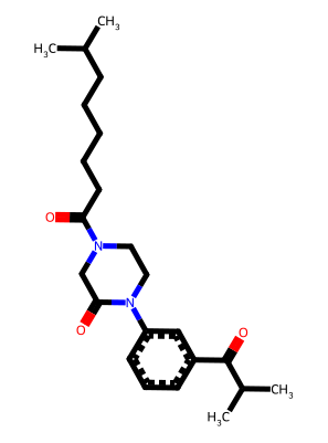 CC(C)CCCCCC(=O)N1CCN(c2cccc(C(=O)C(C)C)c2)C(=O)C1